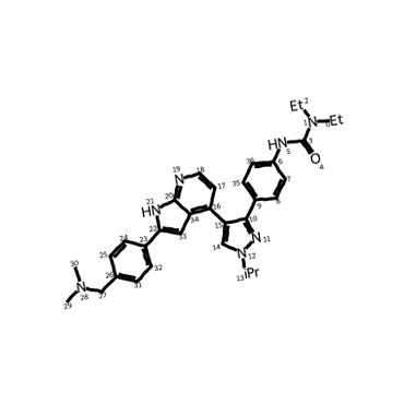 CCN(CC)C(=O)Nc1ccc(-c2nn(C(C)C)cc2-c2ccnc3[nH]c(-c4ccc(CN(C)C)cc4)cc23)cc1